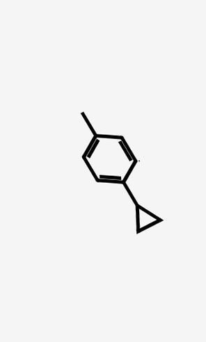 Cc1c[c]c(C2CC2)cc1